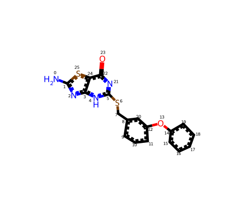 Nc1nc2[nH]c(SCc3cccc(Oc4ccccc4)c3)nc(=O)c2s1